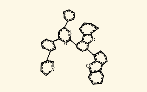 c1ccc(-c2cc(-c3cccc(-c4cccnc4)c3)nc(-c3ccc(-c4cccc5c4oc4ccccc45)c4oc5ccccc5c34)n2)cc1